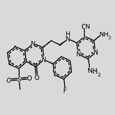 CS(=O)(=O)c1cccc2nc(CCNc3nc(N)nc(N)c3C#N)n(-c3cccc(F)c3)c(=O)c12